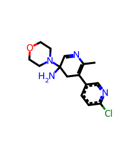 CC1=C(c2ccc(Cl)nc2)CC(N)(N2CCOCC2)C=N1